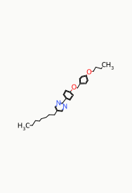 CCCCCCCCc1cnc(-c2ccc(OCc3ccc(OCCCC)cc3)cc2)nc1